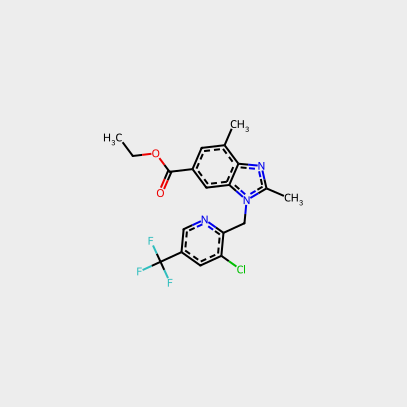 CCOC(=O)c1cc(C)c2nc(C)n(Cc3ncc(C(F)(F)F)cc3Cl)c2c1